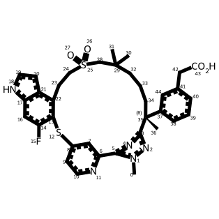 Cn1nc2nc1-c1cc(ccn1)Sc1c(F)cc3[nH]ccc3c1CCS(=O)(=O)CC(C)(C)CCC[C@]2(C)c1cccc(CC(=O)O)c1